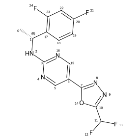 C[C@@H](Nc1ncc(-c2nnc(C(F)F)o2)cn1)c1ccc(F)cc1F